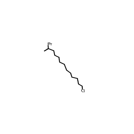 C[C](CCCCCCCCCCCCl)C(C)C